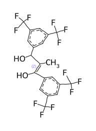 C/C(=C(/O)c1cc(C(F)(F)F)cc(C(F)(F)F)c1)C(O)c1cc(C(F)(F)F)cc(C(F)(F)F)c1